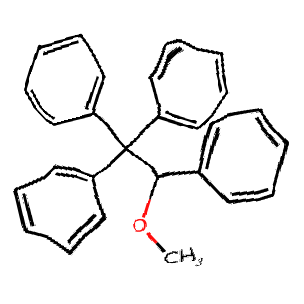 CO[C](c1ccccc1)C(c1ccccc1)(c1ccccc1)c1ccccc1